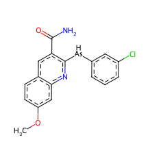 COc1ccc2cc(C(N)=O)c([AsH]c3cccc(Cl)c3)nc2c1